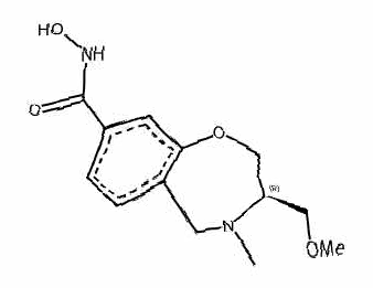 COC[C@@H]1COc2cc(C(=O)NO)ccc2CN1C